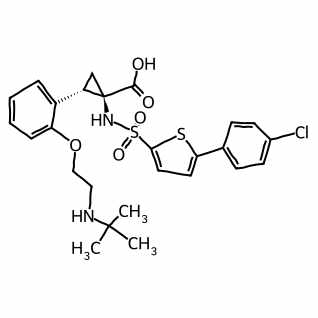 CC(C)(C)NCCOc1ccccc1[C@@H]1C[C@]1(NS(=O)(=O)c1ccc(-c2ccc(Cl)cc2)s1)C(=O)O